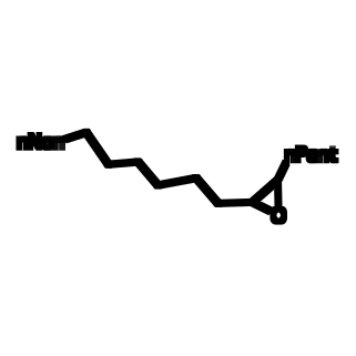 CCCCCCCCCCCCCCCC1OC1CCCCC